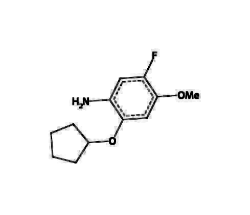 COc1cc(OC2CCCC2)c(N)cc1F